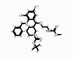 COC(=O)NCCOC(c1cc(F)cc(F)c1OCc1ccccc1)C1CCCN(C(=O)OC(C)(C)C)C1